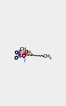 CCCCCCCCCCCCOc1ccc(CN(C(=O)c2cccc[n+]2CCC)c2ccccc2)cc1OC.[I-]